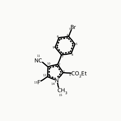 CCOC(=O)c1c(-c2ccc(Br)cc2)c(C#N)c(F)n1C